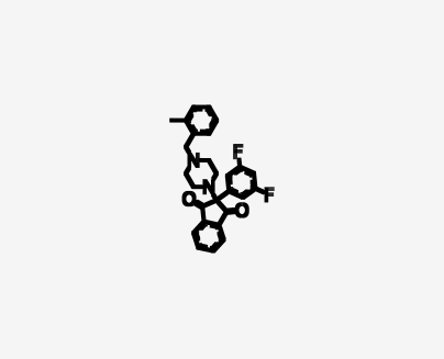 Cc1ccccc1CN1CCN(C2(c3cc(F)cc(F)c3)C(=O)c3ccccc3C2=O)CC1